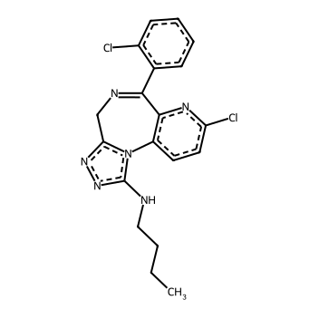 CCCCNc1nnc2n1-c1ccc(Cl)nc1C(c1ccccc1Cl)=NC2